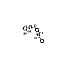 CC(C)Nc1cccnc1N1CCN(C(=O)c2ccc(C(=O)NCC(O)c3ccccc3)cc2)CC1